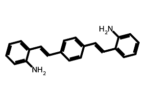 Nc1ccccc1C=Cc1ccc(C=Cc2ccccc2N)cc1